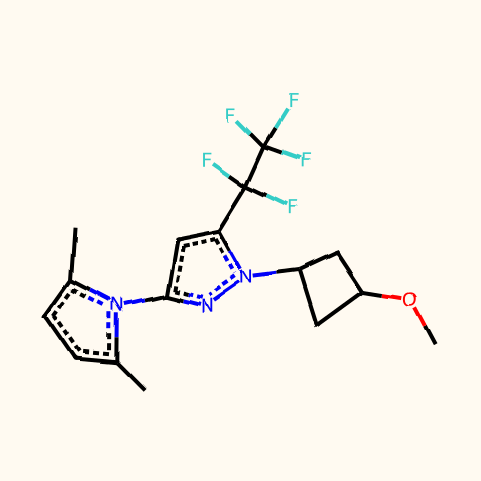 COC1CC(n2nc(-n3c(C)ccc3C)cc2C(F)(F)C(F)(F)F)C1